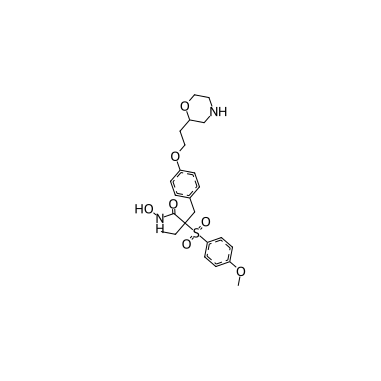 CCC(Cc1ccc(OCCC2CNCCO2)cc1)(C(=O)NO)S(=O)(=O)c1ccc(OC)cc1